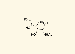 CC(=O)N[C@@H](CO)[C@@H](O)[C@H](O)[C@H](O)CO